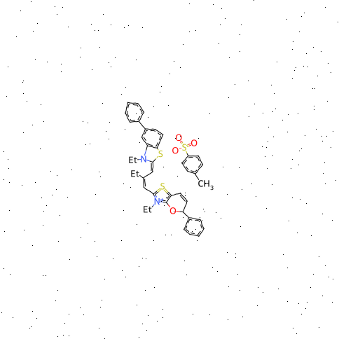 CCC(=Cc1sc2c([n+]1CC)OC(c1ccccc1)C=C2)C=C1Sc2ccc(-c3ccccc3)cc2N1CC.Cc1ccc(S(=O)(=O)[O-])cc1